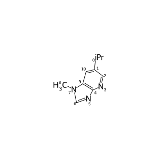 CC(C)c1cnc2ncn(C)c2c1